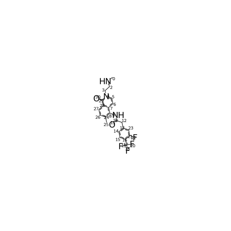 CNCCn1ccc2c(NC(=O)Cc3ccc(C(F)(F)F)c(F)c3)c(C)ccc2c1=O